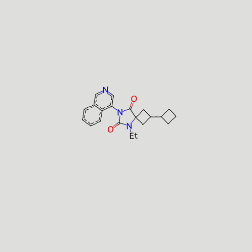 CCN1C(=O)N(c2cncc3ccccc23)C(=O)C12CC(C1CCC1)C2